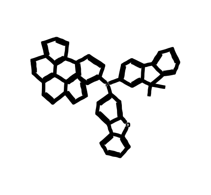 CC1(C)c2ccccc2-c2ccc(N(c3ccc(-c4cccc5ccc6ccc7ccccc7c6c45)cc3)c3ccc4c(c3)oc3ccccc34)cc21